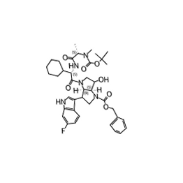 C[C@@H](C(=O)N[C@H](C(=O)N1CC(O)[C@@H]2[C@H]1C(c1c[nH]c3cc(F)ccc13)CN2C(=O)OCc1ccccc1)C1CCCCC1)N(C)C(=O)OC(C)(C)C